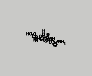 NCc1ccccc1CC(=O)NC1C(=O)N2C(C(=O)O)=C(CSc3nnc(CC(=O)O)o3)CS[C@H]12